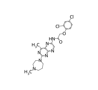 Cc1nc(N2CCCN(C)CC2)nc2ncc(NC(=O)COc3ccc(Cl)cc3Cl)nc12